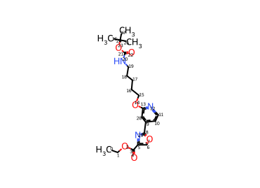 CCOC(=O)c1coc(-c2ccnc(OCCCCCNC(=O)OC(C)(C)C)c2)n1